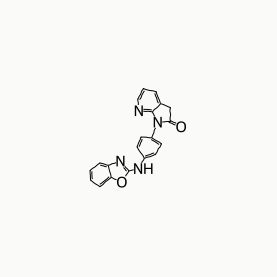 O=C1Cc2cccnc2N1c1ccc(Nc2nc3ccccc3o2)cc1